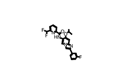 CC(C)Oc1cc2nc(-c3cccc(F)c3)cn2cc1NC(=O)c1cccc(C(F)F)n1